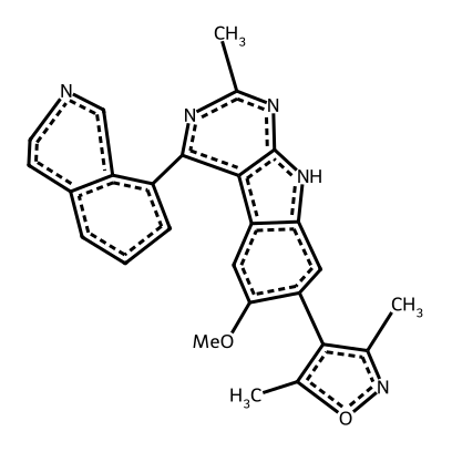 COc1cc2c(cc1-c1c(C)noc1C)[nH]c1nc(C)nc(-c3cccc4ccncc34)c12